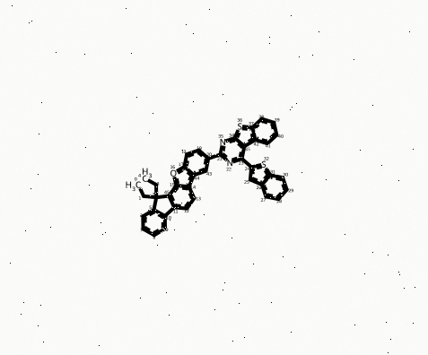 CCC1(CC)c2ccccc2-c2ccc3c(oc4ccc(-c5nc(-c6cc7ccccc7s6)c6c(n5)sc5ccccc56)cc43)c21